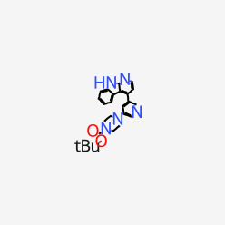 CC(C)(C)OC(=O)N1CCN(c2cncc(-c3ccnc4[nH]c5ccccc5c34)c2)CC1